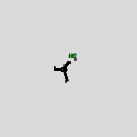 Cl.[CH3][Ge]([CH3])[CH3]